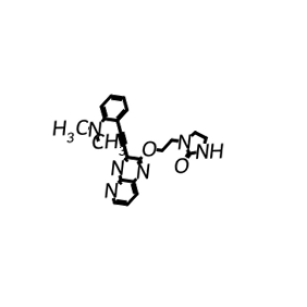 CN(C)c1ccccc1C#Cc1nc2ncccc2nc1OCCN1CCNC1=O